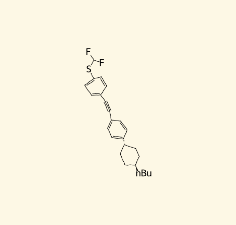 CCCC[C@H]1CC[C@H](c2ccc(C#Cc3ccc(SC(F)F)cc3)cc2)CC1